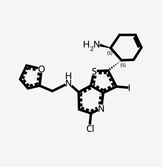 N[C@H]1CC=CC[C@@H]1c1sc2c(NCc3ccco3)cc(Cl)nc2c1I